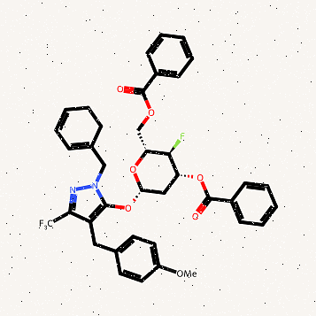 COc1ccc(Cc2c(C(F)(F)F)nn(CC3=CC=CCC3)c2O[C@H]2C[C@@H](OC(=O)c3ccccc3)[C@H](F)[C@@H](COC(=O)c3ccccc3)O2)cc1